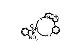 O=[N+]([O-])c1ccccc1S(=O)(=O)N1CCCOc2cccc(c2)-c2cnn3ccc(nc23)SCC1